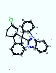 ClC1=CC2=C(CC1)c1ccccc1C21c2ccccc2-n2c1nc1ccccc12